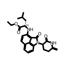 C=C1CCC(N2C(=O)c3c(N[C@@H](CC(C)C)C(=O)OCC)ccc4cccc2c34)C(=O)N1